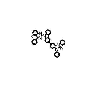 c1ccc(-n2c3ccc(-c4ccc5c(c4)c4ccccc4n5-c4nc5c6c(cccc6n4)Sc4ccccc4-5)cc3n3c4ccccc4nc23)cc1